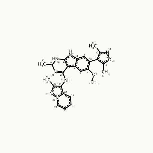 COc1cc2c3c([nH]c2cc1-c1c(C)noc1C)NC(C)N=C3Nc1c(C)nn2ccccc12